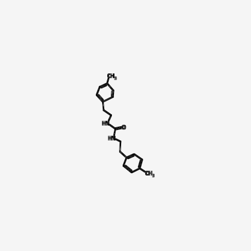 Cc1ccc(CCNC(=O)NCCc2ccc(C)cc2)cc1